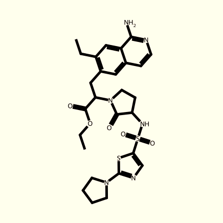 CCOC(=O)C(Cc1cc2ccnc(N)c2cc1CC)N1CCC(NS(=O)(=O)c2cnc(N3CCCC3)s2)C1=O